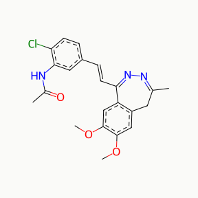 COc1cc2c(cc1OC)C(C=Cc1ccc(Cl)c(NC(C)=O)c1)=NN=C(C)C2